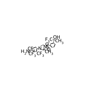 C[C@@H]1CN(c2ccc(C(N)(C(F)(F)F)C(F)(F)F)cc2C(F)(F)F)CCN1S(=O)(=O)c1cccc(C(C)(O)C(F)(F)F)c1